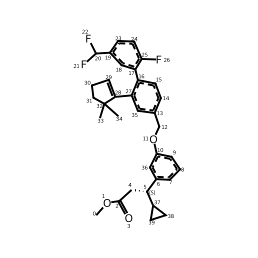 COC(=O)C[C@H](c1cccc(OCc2ccc(-c3cc(C(F)F)ccc3F)c(C3=CCCC3(C)C)c2)c1)C1CC1